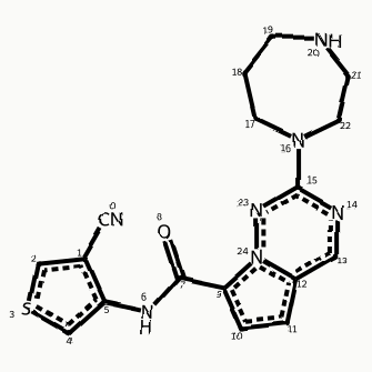 N#Cc1cscc1NC(=O)c1ccc2cnc(N3CCCNCC3)nn12